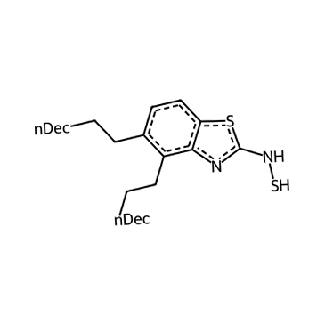 CCCCCCCCCCCCc1ccc2sc(NS)nc2c1CCCCCCCCCCCC